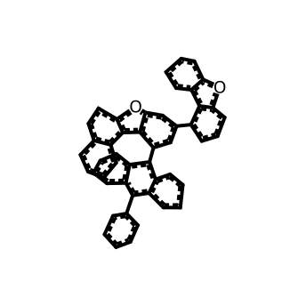 c1ccc(-c2c3ccccc3c(-c3cc(-c4cccc5oc6ccccc6c45)cc4oc5ccc6ccccc6c5c34)c3ccccc23)cc1